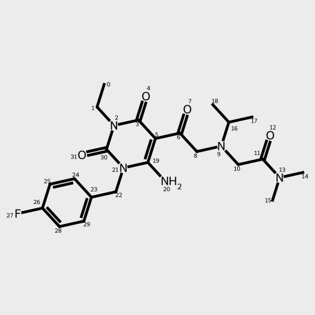 CCn1c(=O)c(C(=O)CN(CC(=O)N(C)C)C(C)C)c(N)n(Cc2ccc(F)cc2)c1=O